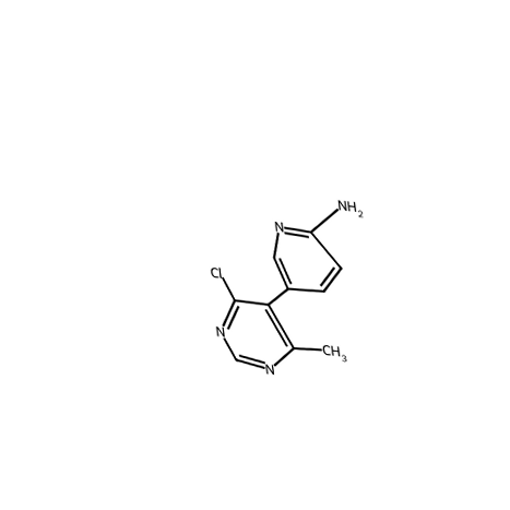 Cc1ncnc(Cl)c1-c1ccc(N)nc1